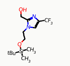 CC(C)(C)[Si](C)(C)OCCn1cc(C(F)(F)F)nc1CO